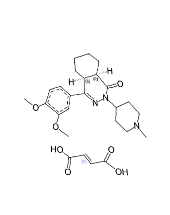 COc1ccc(C2=NN(C3CCN(C)CC3)C(=O)[C@@H]3CCCC[C@H]23)cc1OC.O=C(O)/C=C/C(=O)O